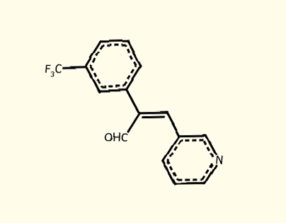 O=C/C(=C\c1cccnc1)c1cccc(C(F)(F)F)c1